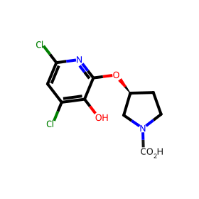 O=C(O)N1CC[C@H](Oc2nc(Cl)cc(Cl)c2O)C1